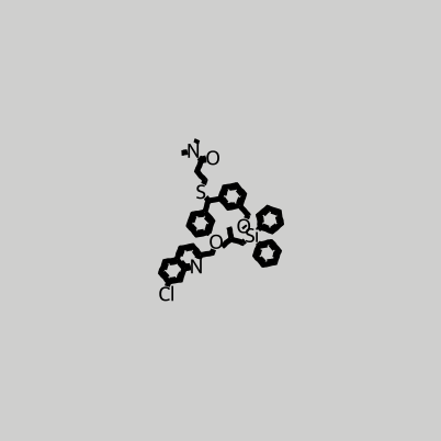 CC(C)C[Si](OCc1cccc(C(SCCC(=O)N(C)C)c2cccc(OCc3ccc4ccc(Cl)cc4n3)c2)c1)(c1ccccc1)c1ccccc1